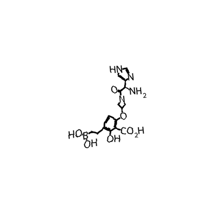 N[C@@H](C(=O)N1CC(Oc2ccc(CCB(O)O)c(O)c2C(=O)O)C1)c1c[nH]cn1